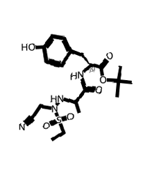 CCS(=O)(=O)N(CC#N)NC(C)C(=O)N[C@@H](Cc1ccc(O)cc1)C(=O)OC(C)(C)C